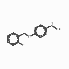 CC(C)(C)Nc1ccc(OCc2ccccc2F)cc1